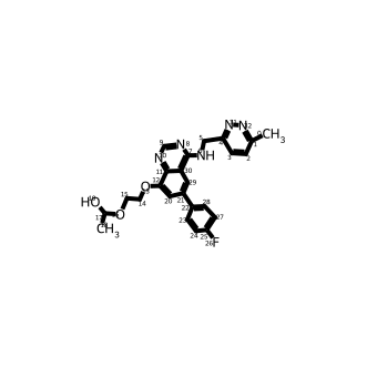 Cc1ccc(CNc2ncnc3c(OCCOC(C)O)cc(-c4ccc(F)cc4)cc23)nn1